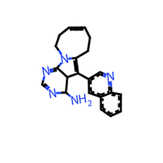 NC1N=CN=C2C1C(c1cnc3ccccc3c1)=C1CC/C=C\CCN21